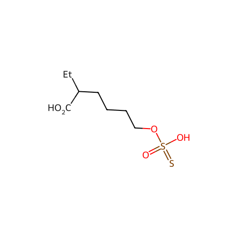 CCC(CCCCOS(=O)(O)=S)C(=O)O